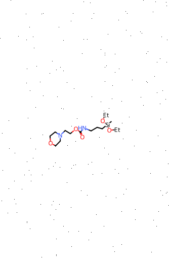 CCO[Si](C)(CCCNC(=O)OCCN1CCOCC1)OCC